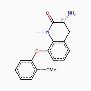 COc1ccccc1Oc1cccc2c1N(C)C(=O)[C@H](N)C2